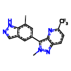 Cc1cc(-c2c3nc(C(F)(F)F)ccc3nn2C)cc2cn[nH]c12